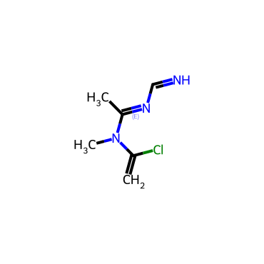 C=C(Cl)N(C)/C(C)=N/C=N